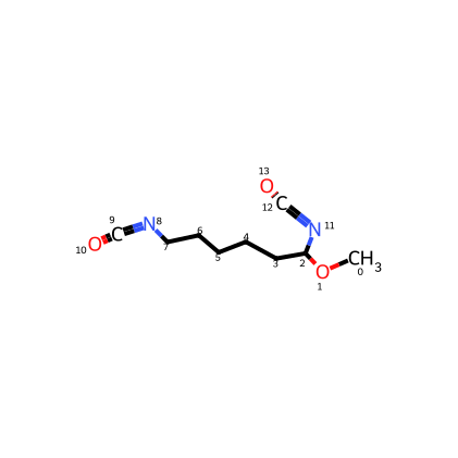 COC(CCCCCN=C=O)N=C=O